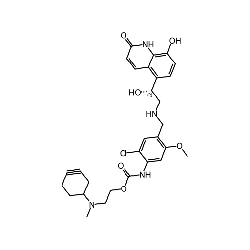 COc1cc(NC(=O)OCCN(C)C2CC#CCC2)c(Cl)cc1CNC[C@H](O)c1ccc(O)c2[nH]c(=O)ccc12